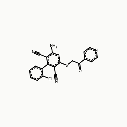 N#Cc1c(N)nc(SCC(=O)c2ccncc2)c(C#N)c1-c1ccccc1Cl